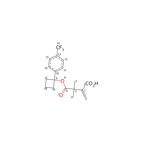 C=C(C(=O)O)C(C)(C)C(=O)OC1(c2ccc(C(F)(F)F)cc2)CCC1